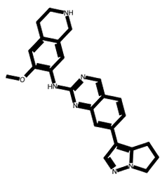 COc1cc2c(cc1Nc1ncc3ccc(-c4cnn5c4CCC5)cc3n1)CNCC2